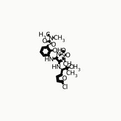 CN(C)S(=O)(=O)c1cccc(NC2=NS(=O)(=O)N=C2N[C@@H](c2ccc(Cl)o2)C(C)(C)C)c1O